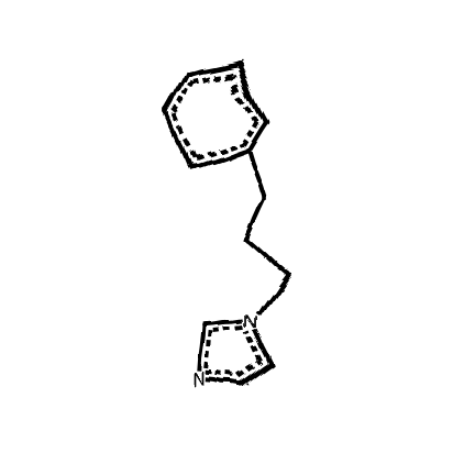 [c]1cn(CCCc2ccccc2)cn1